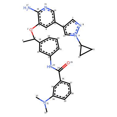 CC(Oc1cc(-c2cnn(C3CC3)c2)cnc1N)c1cccc(NC(=O)c2cccc(N(C)C)c2)c1